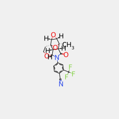 C[C@@]12O[C@]3(CCO[C@@H]4[C@H]3[C@H]1C(=O)N4c1ccc(C#N)c(C(F)(F)F)c1)[C@@H]1O[C@@H]12